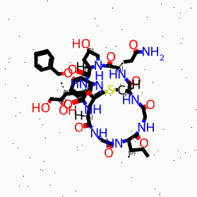 CC[C@H](C)C1NC(=O)CNC(=O)[C@@H]2Cc3c([nH]c4cc(OCc5ccccc5)ccc34)SC[C@H](NC(=O)CNC1=O)C(=O)N[C@@H](CCC(N)=O)C(=O)N1C[C@H](O)C[C@H]1C(=O)N[C@@H]([C@@H](C)[C@@H](O)CO)C(=O)N2